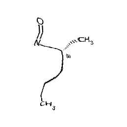 CCC[C@@H](C)N=O